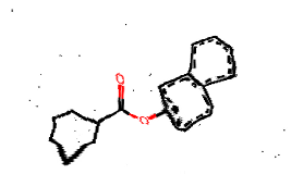 O=C(Oc1ccc2ccccc2c1)C1CCCCC1